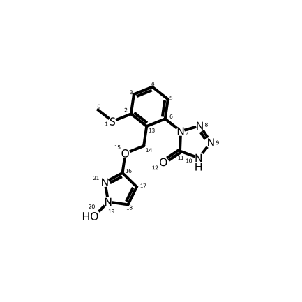 CSc1cccc(-n2nn[nH]c2=O)c1COc1ccn(O)n1